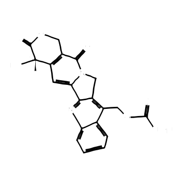 CCCCCCCC(=O)OCc1c2c(nc3ccccc13)-c1cc3c(c(=O)n1C2)COC(=O)[C@]3(O)CC